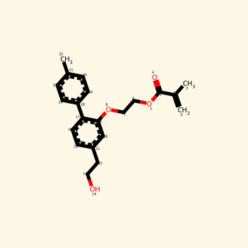 C=C(C)C(=O)OCCOc1cc(CCO)ccc1-c1ccc(C)cc1